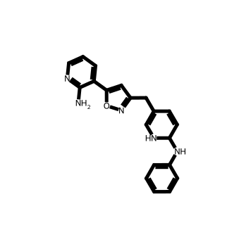 Nc1ncccc1-c1cc(CC2=CNC(Nc3ccccc3)C=C2)no1